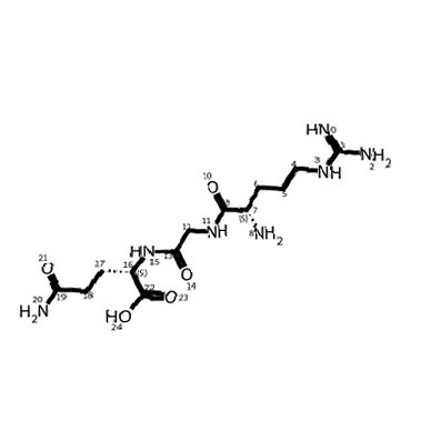 N=C(N)NCCC[C@H](N)C(=O)NCC(=O)N[C@@H](CCC(N)=O)C(=O)O